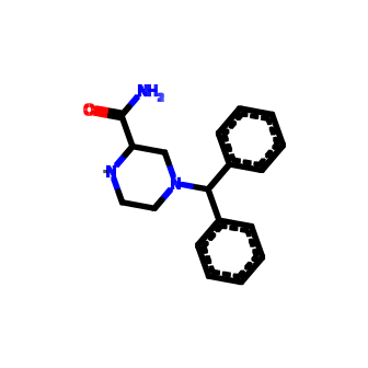 NC(=O)C1CN(C(c2ccccc2)c2ccccc2)CC[N]1